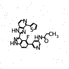 CCC(=O)Nc1cncc(-c2ccc3[nH]nc(-c4nc5c(-c6cccs6)nccc5[nH]4)c3c2F)c1